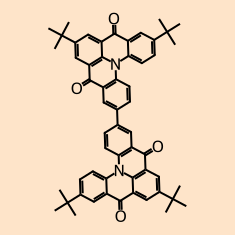 CC(C)(C)c1ccc2c(c1)c(=O)c1cc(C(C)(C)C)cc3c(=O)c4cc(-c5ccc6c(c5)c(=O)c5cc(C(C)(C)C)cc7c(=O)c8cc(C(C)(C)C)ccc8n6c57)ccc4n2c31